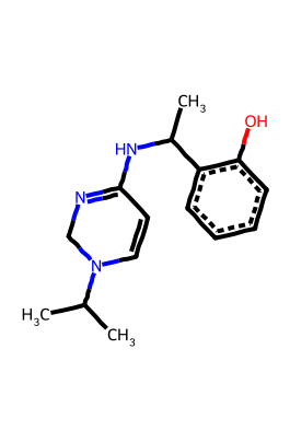 CC(NC1=NCN(C(C)C)C=C1)c1ccccc1O